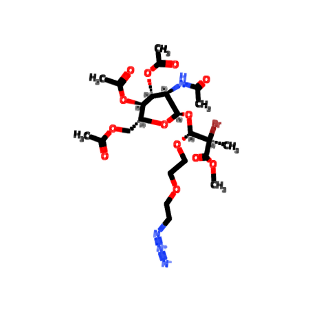 COC(=O)[C@](C)(Br)[C@H](OCCOCCN=[N+]=[N-])O[C@@H]1O[C@H](COC(C)=O)[C@@H](OC(C)=O)[C@H](OC(C)=O)[C@H]1NC(C)=O